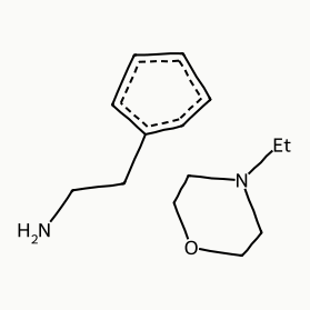 CCN1CCOCC1.NCCc1ccccc1